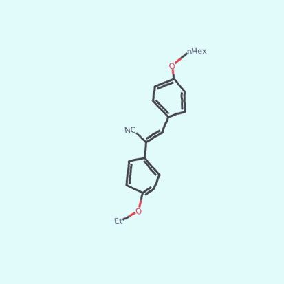 CCCCCCOc1ccc(/C=C(\C#N)c2ccc(OCC)cc2)cc1